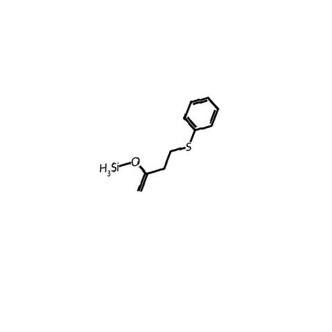 C=C(CCSc1ccccc1)O[SiH3]